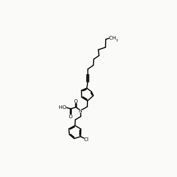 CCCCCCCCC#Cc1ccc(CN(CCc2cccc(Cl)c2)C(=O)C(=O)O)cc1